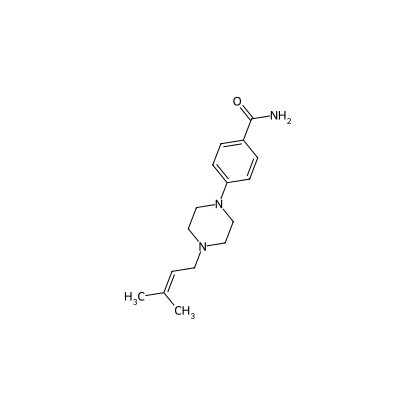 CC(C)=CCN1CCN(c2ccc(C(N)=O)cc2)CC1